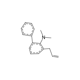 C=CCc1cccc(-c2ccccc2)c1N(C)C